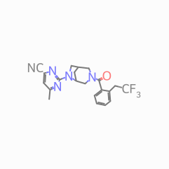 Cc1cc(C#N)nc(N2CC3CC2CN(C(=O)c2ccccc2CC(F)(F)F)C3)n1